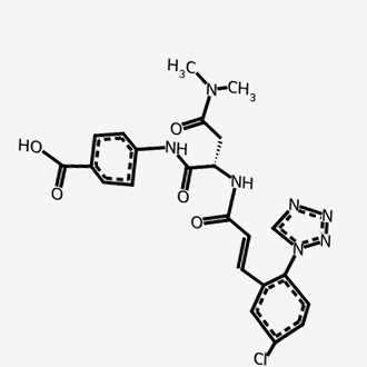 CN(C)C(=O)C[C@H](NC(=O)/C=C/c1cc(Cl)ccc1-n1cnnn1)C(=O)Nc1ccc(C(=O)O)cc1